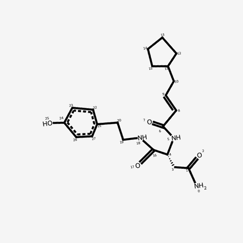 NC(=O)C[C@@H](NC(=O)/C=C/CC1CCCC1)C(=O)NCCc1ccc(O)cc1